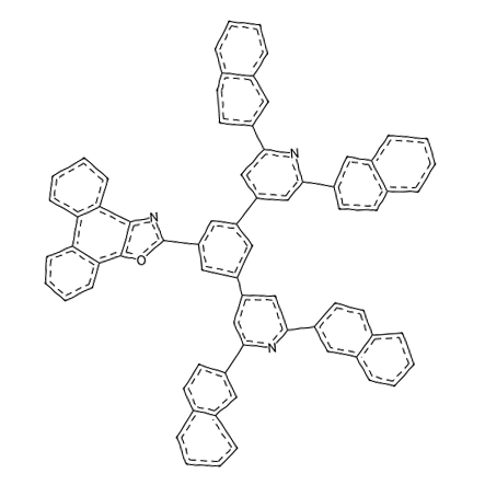 c1ccc2cc(-c3cc(-c4cc(-c5cc(-c6ccc7ccccc7c6)nc(-c6ccc7ccccc7c6)c5)cc(-c5nc6c7ccccc7c7ccccc7c6o5)c4)cc(-c4ccc5ccccc5c4)n3)ccc2c1